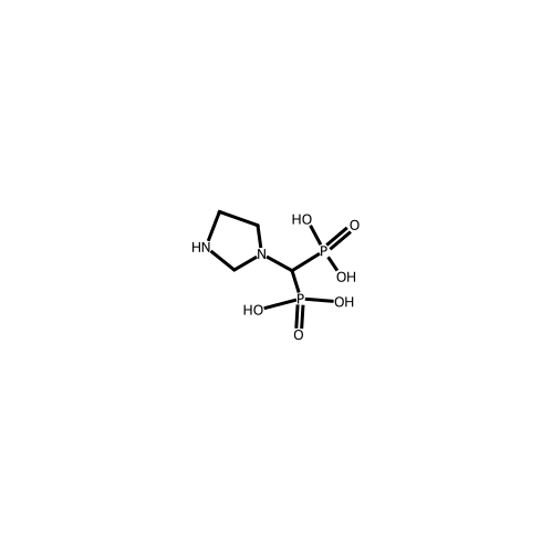 O=P(O)(O)C(N1CCNC1)P(=O)(O)O